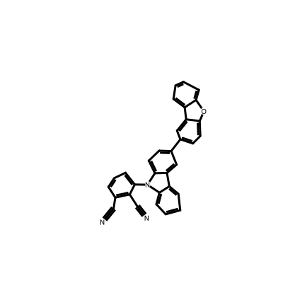 N#Cc1cccc(-n2c3ccccc3c3cc(-c4ccc5oc6ccccc6c5c4)ccc32)c1C#N